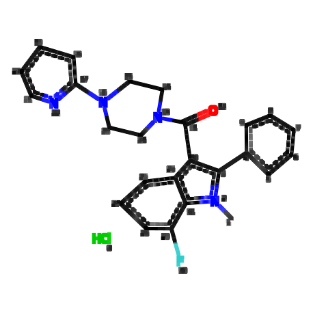 Cl.Cn1c(-c2ccccc2)c(C(=O)N2CCN(c3ccccn3)CC2)c2cccc(F)c21